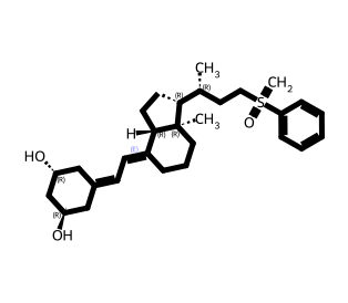 C=S(=O)(CC[C@@H](C)[C@H]1CC[C@H]2/C(=C/C=C3C[C@@H](O)C[C@H](O)C3)CCC[C@]12C)c1ccccc1